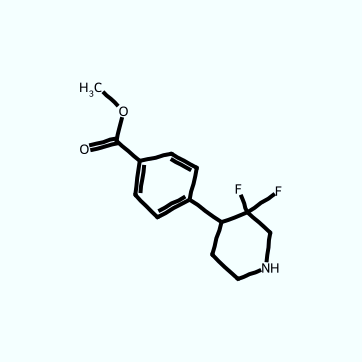 COC(=O)c1ccc(C2CCNCC2(F)F)cc1